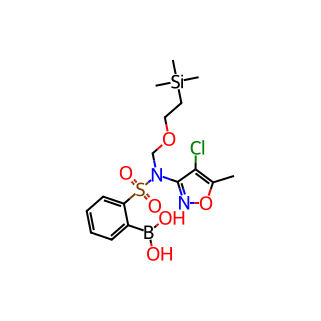 Cc1onc(N(COCC[Si](C)(C)C)S(=O)(=O)c2ccccc2B(O)O)c1Cl